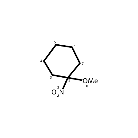 COC1([N+](=O)[O-])C[CH]CCC1